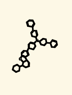 C1=CCC(C2CCC(N(C3=CC=C(c4ccc5c(c4)C4C=CCC(C6CCCCC6)C4O5)CC3)C3C=CC(c4ccccc4)=CC3)CC2)C=C1